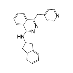 c1ccc2c(c1)CC(Nc1nnc(Cc3ccncc3)c3ccccc13)C2